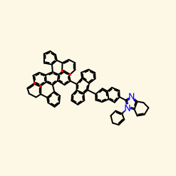 C1=CCCC(c2ccccc2-c2c3ccccc3c(-c3ccccc3C3=CC=CCC3)c3cc(-c4c5ccccc5c(-c5ccc6cc(-c7nc8c(n7C7=CCCC=C7)C=CCC8)ccc6c5)c5ccccc45)ccc23)=C1